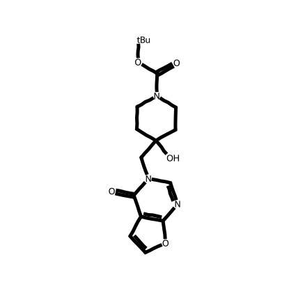 CC(C)(C)OC(=O)N1CCC(O)(Cn2cnc3occc3c2=O)CC1